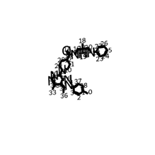 Cc1ccc(-n2nc3c(N4CCC(C(=O)NCC(C)(C)CNc5ccccc5)CC4)nnc(C)c3c2C)cc1